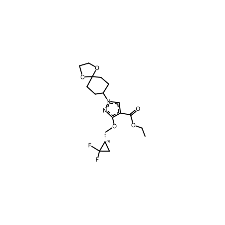 CCOC(=O)c1cn(C2CCC3(CC2)OCCO3)nc1OC[C@@H]1CC1(F)F